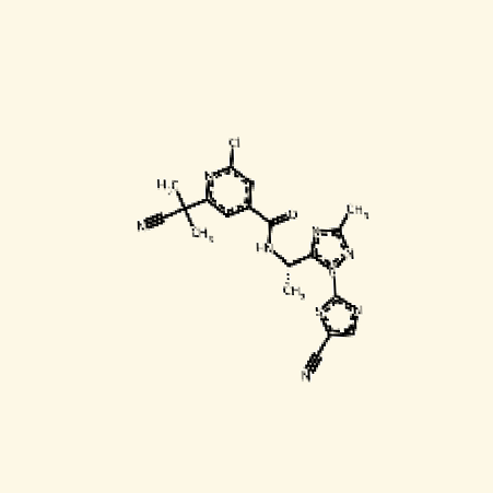 Cc1nc([C@H](C)NC(=O)c2cc(Cl)nc(C(C)(C)C#N)c2)n(-c2ncc(C#N)s2)n1